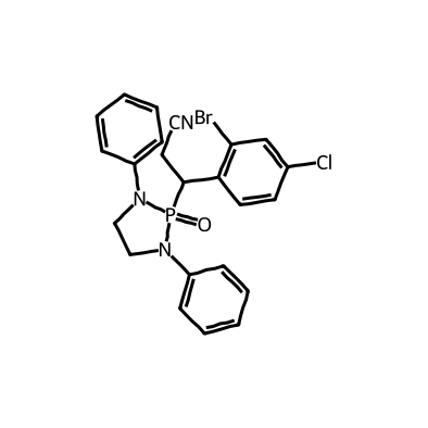 N#CCC(c1ccc(Cl)cc1Br)P1(=O)N(c2ccccc2)CCN1c1ccccc1